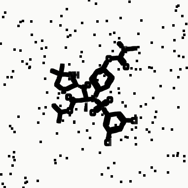 CC(C)OC(=O)[C@@](C)(C(=O)[C@H]1NC(C)(C)CS1)N(c1ccc(OC(=O)N(C)C)cc1)S(=O)(=O)c1cc(Cl)cc(Cl)c1